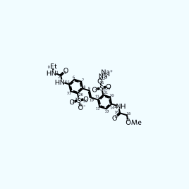 CCNC(=O)Nc1ccc(/C=C/c2ccc(NC(=O)COC)cc2S(=O)(=O)[O-])c(S(=O)(=O)[O-])c1.[Na+].[Na+]